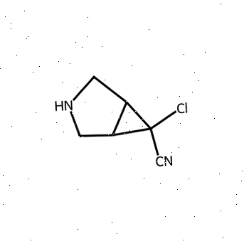 N#CC1(Cl)C2CNCC21